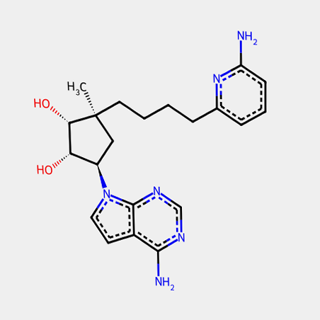 C[C@]1(CCCCc2cccc(N)n2)C[C@@H](n2ccc3c(N)ncnc32)[C@H](O)[C@@H]1O